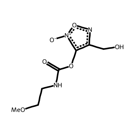 COCCNC(=O)Oc1c(CO)no[n+]1[O-]